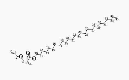 C=CCOCC(=C)C(=O)OCCCCCCCCCCCCCCCCCCCCCCCCCC